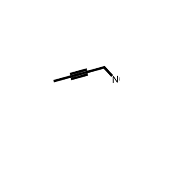 CC#CC[N]